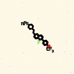 CCCC1CCC(CCc2ccc3c(F)c(-c4ccc(OC(F)(F)F)cc4)ccc3c2)CC1